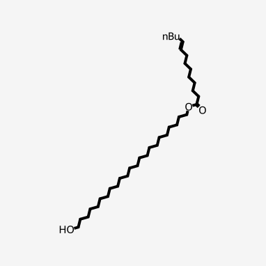 CCCCC=CCCCCCCCC(=O)OCCCCCCCCCCCCCCCCCCCCCCCO